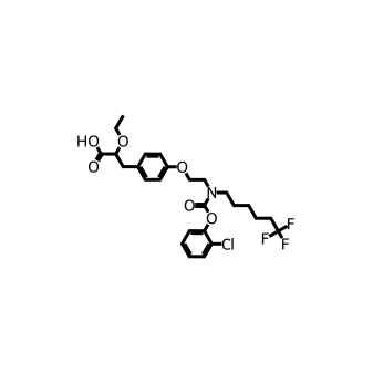 CCOC(Cc1ccc(OCCN(CCCCCC(F)(F)F)C(=O)Oc2ccccc2Cl)cc1)C(=O)O